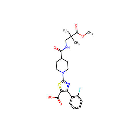 COC(=O)C(C)(C)CNC(=O)C1CCN(c2nc(-c3ccccc3F)c(C(=O)O)s2)CC1